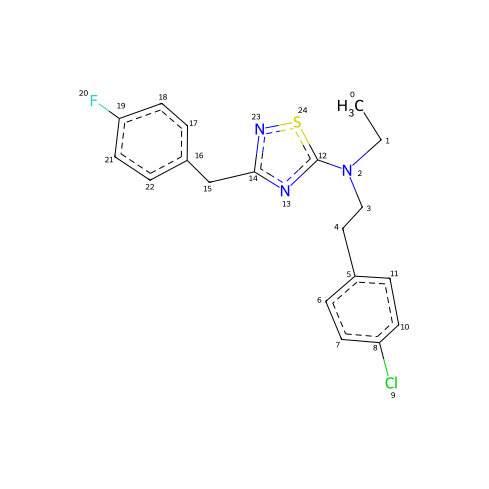 CCN(CCc1ccc(Cl)cc1)c1nc(Cc2ccc(F)cc2)ns1